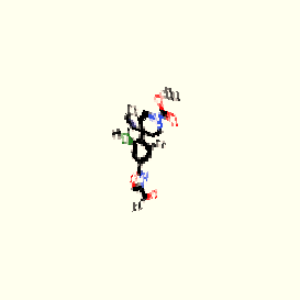 CC/C=C(/C)C1(c2c(Cl)cc(-c3nc(C(=O)CC)co3)cc2CC)CCN(C(=O)OC(C)(C)C)CC1